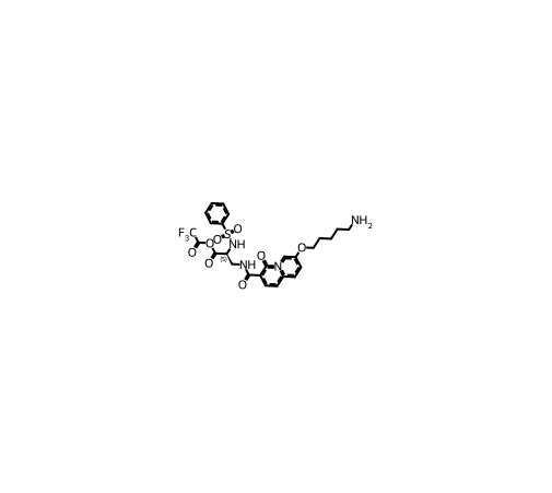 NCCCCCOc1ccc2ccc(C(=O)NC[C@H](NS(=O)(=O)c3ccccc3)C(=O)OC(=O)C(F)(F)F)c(=O)n2c1